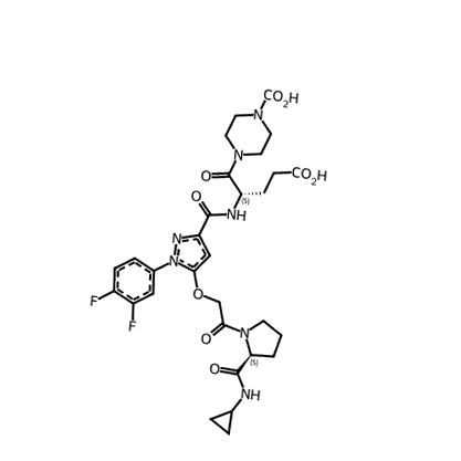 O=C(O)CC[C@H](NC(=O)c1cc(OCC(=O)N2CCC[C@H]2C(=O)NC2CC2)n(-c2ccc(F)c(F)c2)n1)C(=O)N1CCN(C(=O)O)CC1